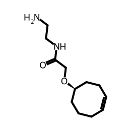 NCCNC(=O)CO[C@H]1CC/C=C\CCC1